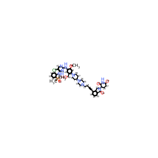 COc1cc(N2CCC(N3CCN(CCC#Cc4cccc5c4CN(C4CCC(=O)NC4=O)C5=O)CC3)CC2)c(CO)cc1Nc1ncc(Cl)c(Nc2ccccc2P(C)(C)=O)n1